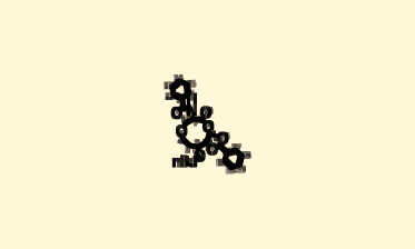 CCCCO[C@H]1CCOC[C@H](NC(=O)c2ccccc2)C(=O)O[C@@H](C)[C@@H]1OC(=O)c1ccccc1